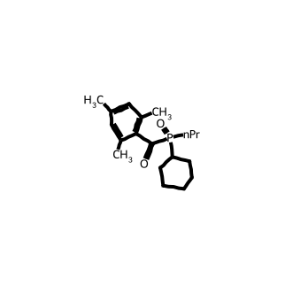 CCCP(=O)(C(=O)c1c(C)cc(C)cc1C)C1CCCCC1